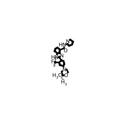 CC1(C)CN(c2ccc(-c3nc4c(C(=O)Nc5ccccn5)cccc4[nH]3)c(C(F)(F)F)c2)CCO1